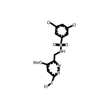 CCSc1cc(OC)c(CNS(=O)(=O)c2cc(Cl)cc(Cl)c2)nn1